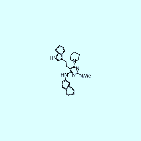 CNc1nc(Nc2ccc3ccccc3c2)c(CCc2c[nH]c3ccccc23)c(N2CCCCC2)n1